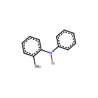 CC(C)(C)c1ccccc1N(Br)c1ccccc1